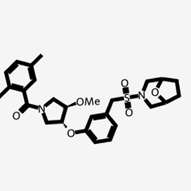 CO[C@@H]1CN(C(=O)c2cc(C)ccc2C)C[C@H]1Oc1cccc(CS(=O)(=O)N2CC3CCC(C2)O3)c1